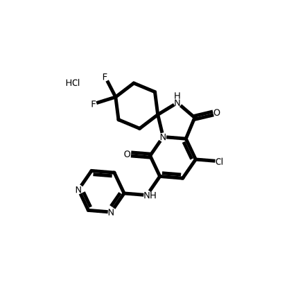 Cl.O=C1NC2(CCC(F)(F)CC2)n2c1c(Cl)cc(Nc1ccncn1)c2=O